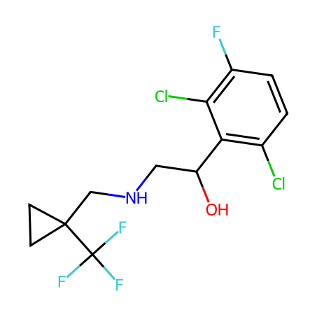 OC(CNCC1(C(F)(F)F)CC1)c1c(Cl)ccc(F)c1Cl